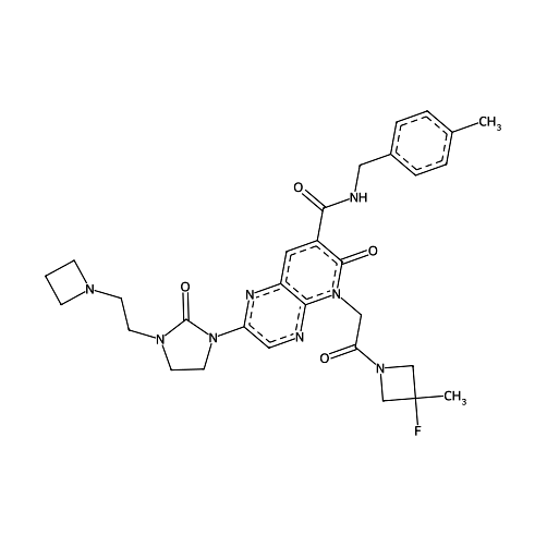 Cc1ccc(CNC(=O)c2cc3nc(N4CCN(CCN5CCC5)C4=O)cnc3n(CC(=O)N3CC(C)(F)C3)c2=O)cc1